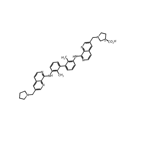 Cc1c(Nc2nccc3cc(CN4CCCC4)cnc23)cccc1-c1cccc(Nc2nccc3cc(CN4CC[C@@H](C(=O)O)C4)cnc23)c1C